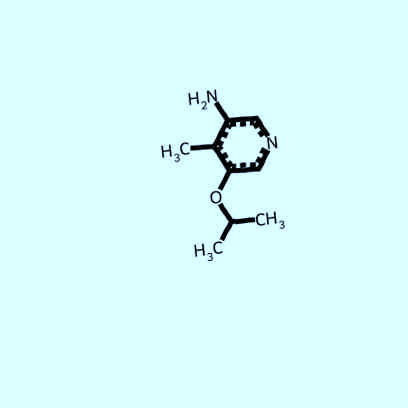 Cc1c(N)cncc1OC(C)C